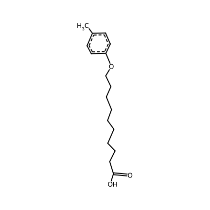 Cc1ccc(OCCCCCCCCCC(=O)O)cc1